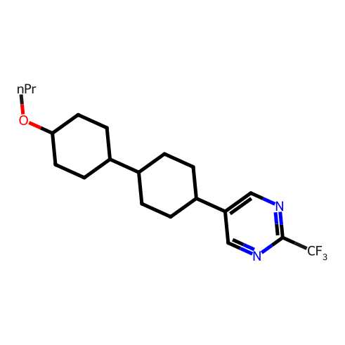 CCCOC1CCC(C2CCC(c3cnc(C(F)(F)F)nc3)CC2)CC1